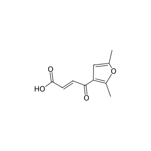 Cc1cc(C(=O)C=CC(=O)O)c(C)o1